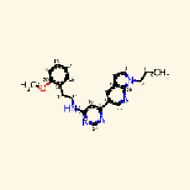 CCCn1ccc2cc(-c3cc(NCCc4ccccc4OC)ncn3)cnc21